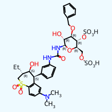 CC[C@H]1CS(=O)(=O)c2ccc(N(C)C)cc2[C@H](c2cccc(NC(=O)N[C@@H]3O[C@H](COS(=O)(=O)O)[C@@H](OS(=O)(=O)O)[C@H](OCc4ccccc4)[C@H]3O)c2)[C@@H]1O